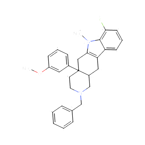 COc1cccc(C23CCN(Cc4ccccc4)CC2Cc2c(n(C)c4c(F)cccc24)C3)c1